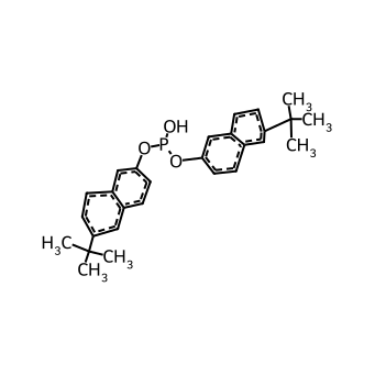 CC(C)(C)c1ccc2cc(OP(O)Oc3ccc4cc(C(C)(C)C)ccc4c3)ccc2c1